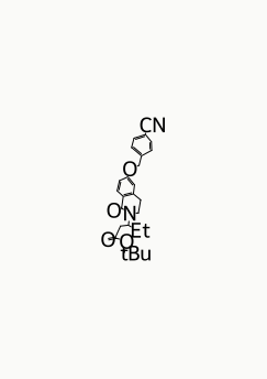 CCC(CC(=O)OC(C)(C)C)N1CCc2cc(OCc3ccc(C#N)cc3)ccc2C1=O